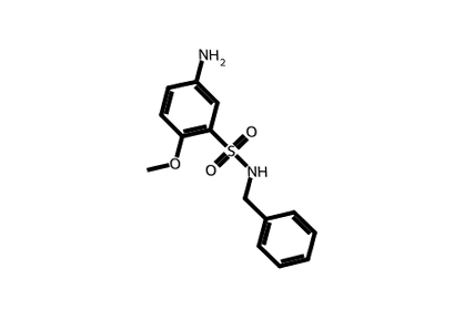 COc1ccc(N)cc1S(=O)(=O)NCc1ccccc1